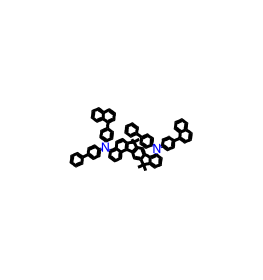 CC1(C)c2cc3c(cc2-c2c(N(c4ccc(-c5ccccc5)cc4)c4ccc(-c5cccc6ccccc56)cc4)cccc21)C(C)(C)c1ccc2c(N(c4ccc(-c5ccccc5)cc4)c4ccc(-c5cccc6ccccc56)cc4)cccc2c1-3